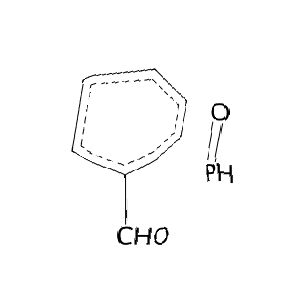 O=Cc1ccccc1.O=P